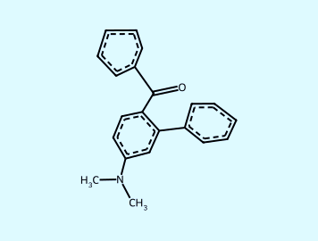 CN(C)c1ccc(C(=O)c2ccccc2)c(-c2ccccc2)c1